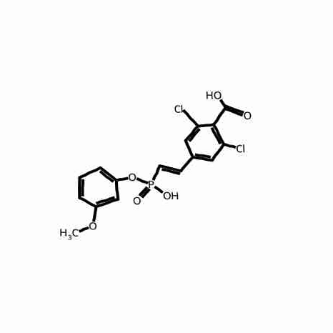 COc1cccc(OP(=O)(O)/C=C/c2cc(Cl)c(C(=O)O)c(Cl)c2)c1